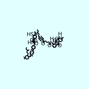 C=C(CC)CCC1=C(CN2CCN(c3ccc(C(=O)NS(=O)(=O)c4ccc(N(C)C(CC)CCN5CCN(C(=O)CCCC(=O)Nc6cccc7c6C(=O)N(C6CCC(=C)NC6=O)C7=O)CC5)c(S)c4)cc3)CC2)CCC(C)(C)C1